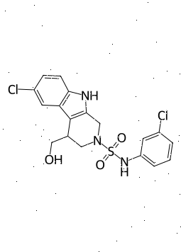 O=S(=O)(Nc1cccc(Cl)c1)N1Cc2[nH]c3ccc(Cl)cc3c2C(CO)C1